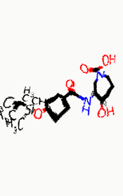 CC(C)(C)[Si](C)(C)Oc1ccc(C(=O)N[C@@H]2CN(C(=O)O)CCC[C@H]2O)cc1